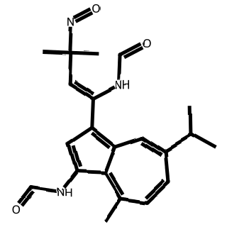 Cc1ccc(C(C)C)cc2c(C(=CC(C)(C)N=O)NC=O)cc(NC=O)c1-2